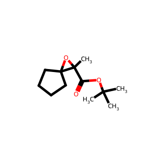 CC(C)(C)OC(=O)C1(C)OC12CCCC2